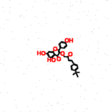 CC(C)(C)c1ccc(/C=C/C(=O)COc2c(-c3ccc(O)cc3)oc3cc(O)cc(O)c3c2=O)cc1